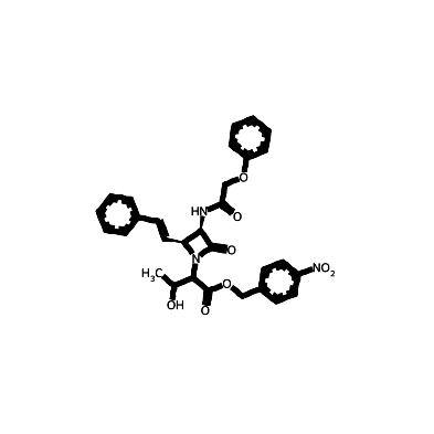 CC(O)C(C(=O)OCc1ccc([N+](=O)[O-])cc1)N1C(=O)[C@H](NC(=O)COc2ccccc2)[C@@H]1C=Cc1ccccc1